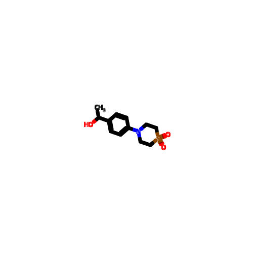 CC(O)c1ccc(N2CCS(=O)(=O)CC2)cc1